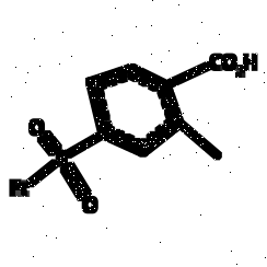 CCS(=O)(=O)c1ccc(C(=O)O)c(C)c1